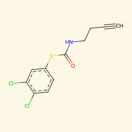 C#CCCNC(=O)Sc1ccc(Cl)c(Cl)c1